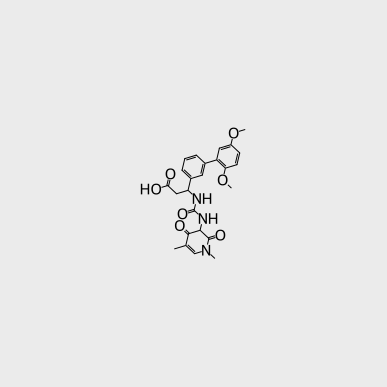 COc1ccc(OC)c(-c2cccc(C(CC(=O)O)NC(=O)NC3C(=O)C(C)=CN(C)C3=O)c2)c1